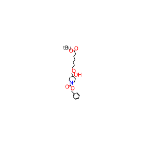 CC(C)(C)OC(=O)CCCCCCOCC1(O)CCN(C(=O)OCc2ccccc2)CC1